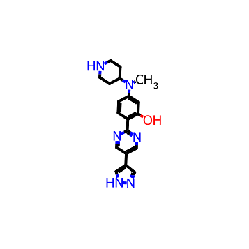 CN(c1ccc(-c2ncc(-c3cn[nH]c3)cn2)c(O)c1)C1CCNCC1